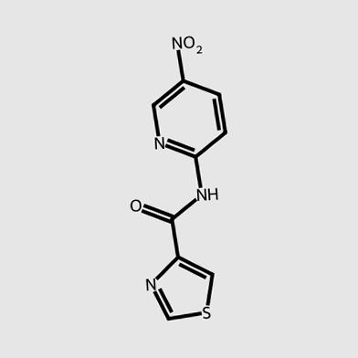 O=C(Nc1ccc([N+](=O)[O-])cn1)c1cscn1